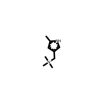 Cc1cc(C[N+](C)(C)C)c[nH]1